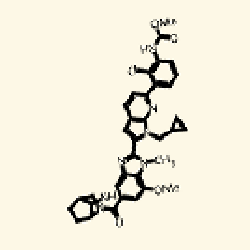 COC(=O)Nc1cccc(-c2ccc3cc(-c4nc5cc(C(=O)N6CC7CCC6C7N)cc(OC)c5n4C)n(CC4CC4)c3n2)c1Cl